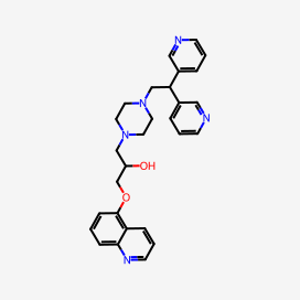 OC(COc1cccc2ncccc12)CN1CCN(CC(c2cccnc2)c2cccnc2)CC1